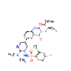 CNC(=O)[C@@H](C)Cn1cnc2ccc(-c3cnc(N(C)C)c(NS(=O)(=O)c4ccc(F)cc4Cl)c3)cc2c1=O